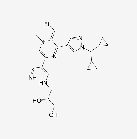 CC/C=C1/C(c2cnn(C(C3CC3)C3CC3)c2)=NC(/C(C=N)=C/NC[C@@H](O)CO)=CN1C